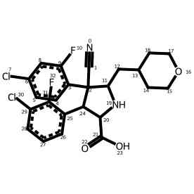 N#CC1(c2ccc(Cl)cc2F)C(CC2CCOCC2)NC(C(=O)O)C1c1cccc(Cl)c1F